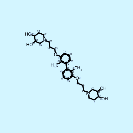 Cc1c(OCCCN2CCC(O)C(O)C2)cccc1-c1cccc(OCCCN2CCC(O)C(O)C2)c1C